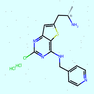 C[C@H](N)Cc1cc2nc(Cl)nc(NCc3ccncc3)c2s1.Cl.Cl